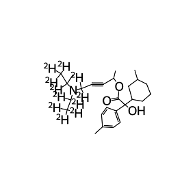 [2H]C([2H])(C#CC(C)OC(=O)C(O)(c1ccc(C)cc1)C1CCCC(C)C1)N(C([2H])([2H])C([2H])([2H])[2H])C([2H])(C)C([2H])([2H])[2H]